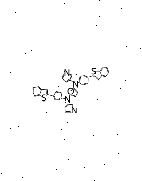 c1cncc(N(c2ccc(-c3cc4ccccc4s3)cc2)c2ccc(N(c3ccc(-c4cc5ccccc5s4)cc3)c3cccnc3)o2)c1